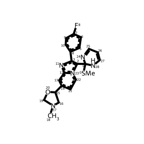 CSC1(c2c(-c3ccc(F)cc3)nc3cc(C4CN(C)CO4)ccn23)N=CC=CN1